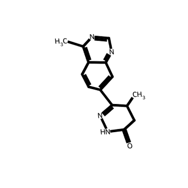 Cc1ncnc2cc(C3=NNC(=O)CC3C)ccc12